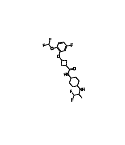 CC(NC1CCC(NC(=O)C2CC(Oc3cc(F)ccc3OC(F)F)C2)CC1)C(F)F